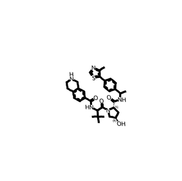 Cc1ncsc1-c1ccc(C(C)NC(=O)[C@@H]2C[C@@H](O)CN2C(=O)C(NC(=O)c2ccc3c(c2)CNCC3)C(C)(C)C)cc1